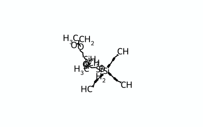 C#CC#CC#C[Si](C#CC#CC#C)(C#CC#CC#C)O[SiH2]CC[Si](C)(C)O[SiH2]CCCOC(=O)C(=C)C